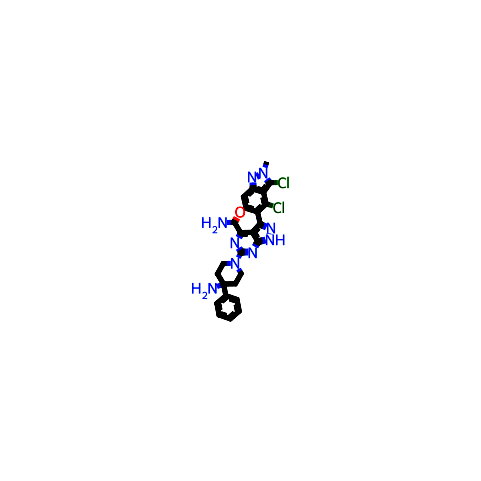 Cn1nc2ccc(-c3n[nH]c4nc(N5CCC(N)(c6ccccc6)CC5)nc(C(N)=O)c34)c(Cl)c2c1Cl